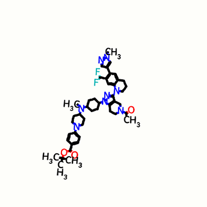 CC(=O)N1CCc2c(c(N3CCCc4cc(-c5cnn(C)c5)c(C(F)F)cc43)nn2C2CCC(N(C)C3CCN(c4ccc(C(=O)OC(C)(C)C)cc4)CC3)CC2)C1